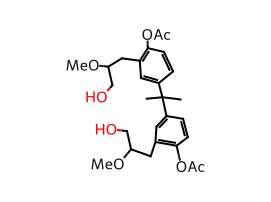 COC(CO)Cc1cc(C(C)(C)c2ccc(OC(C)=O)c(CC(CO)OC)c2)ccc1OC(C)=O